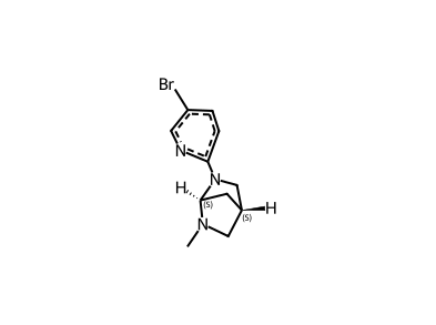 CN1C[C@@H]2C[C@@H]1N(c1ccc(Br)cn1)C2